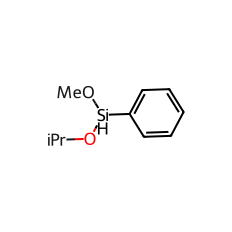 CO[SiH](OC(C)C)c1ccccc1